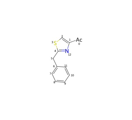 CC(=O)c1csc(Cc2ccccc2)n1